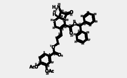 CC(=O)Oc1ccc(C(=O)OC/C=C/C2=C(C(=O)OC(c3ccccc3)c3ccccc3)N3C(=O)C(N)[C@H]3SC2)cc1OC(C)=O